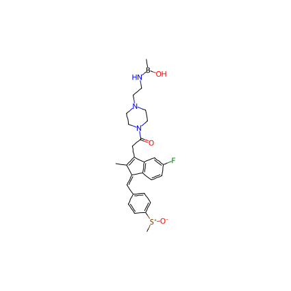 CB(O)NCCN1CCN(C(=O)CC2=C(C)/C(=C/c3ccc([S+](C)[O-])cc3)c3ccc(F)cc32)CC1